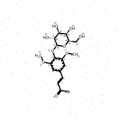 COc1cc(/C=C/C(=O)Br)cc(OC)c1O[C@@H]1O[C@H](CO)[C@H](O)[C@H](O)[C@H]1O